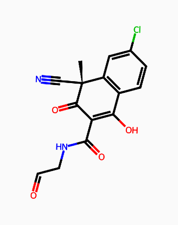 C[C@]1(C#N)C(=O)C(C(=O)NCC=O)=C(O)c2ccc(Cl)cc21